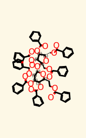 O=C(OCC[C@@H]1O[C@@H](O[C@@]2(COC(=O)c3ccccc3)O[C@@H](COC(=O)c3ccccc3)[C@H](OC(=O)c3ccccc3)[C@H]2OC(=O)c2ccccc2)[C@@H](OC(=O)c2ccccc2)[C@H](OC(=O)c2ccccc2)[C@H]1OC(=O)c1ccccc1)c1ccccc1